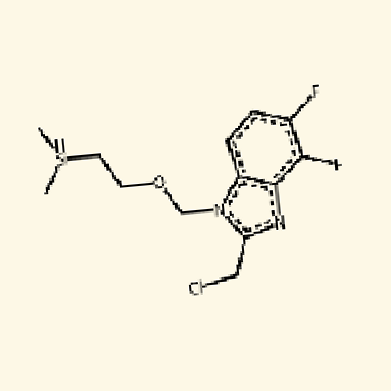 C[SiH](C)CCOCn1c(CCl)nc2c(F)c(F)ccc21